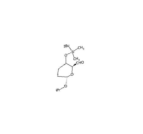 CC(C)O[C@@H]1CCC(O[Si](C)(C)C(C)(C)C)[C@@H](C=O)O1